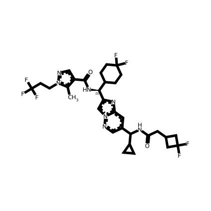 Cc1c(C(=O)N[C@H](c2cn3ncc(C(NC(=O)CC4CC(F)(F)C4)C4CC4)cc3n2)C2CCC(F)(F)CC2)cnn1CCC(F)(F)F